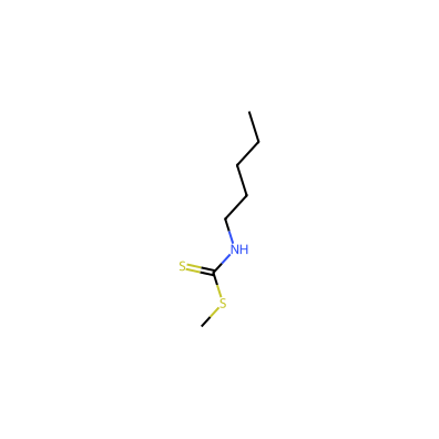 CCCCCNC(=S)SC